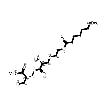 CCCCCCCCCCCCCCCC(=O)OCCSC[C@H](N)C(=O)OC[C@H](CO)C(=O)OC